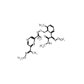 CNC(=O)/C(=N/OC)c1cccc(C)c1CO/N=C(\C)c1cncc(/C(C)=N/OC)n1